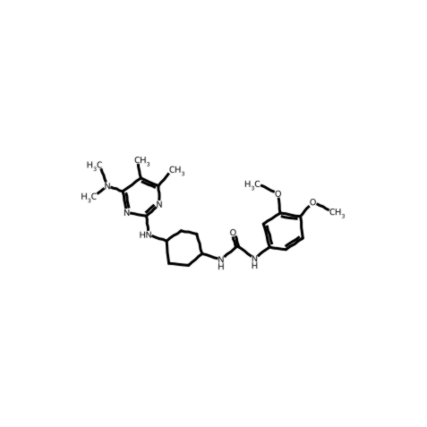 COc1ccc(NC(=O)NC2CCC(Nc3nc(C)c(C)c(N(C)C)n3)CC2)cc1OC